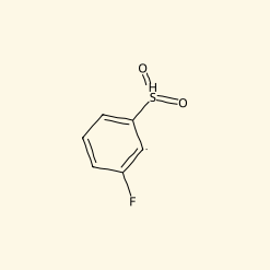 O=[SH](=O)c1[c]c(F)ccc1